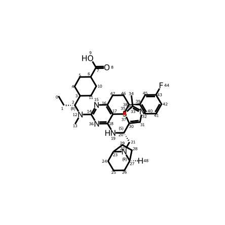 CC[C@H](C1CCC(C(=O)O)CC1)N(C)c1nc2c(c(N[C@@H](CN3C4CCC[C@@H]3CC4)c3cnc(C)s3)n1)C[C@H](c1cccc(F)c1)CC2